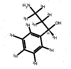 [2H]c1c([2H])c([2H])c([C@@]([2H])(O)C([2H])([2H])C([2H])([2H])N)c([2H])c1[2H]